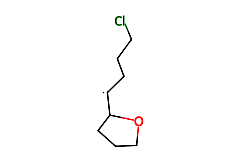 ClCCC[CH]C1CCCO1